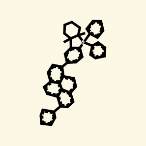 CC12CCCCC1(C)[Si](c1ccccc1)(c1ccccc1)c1ccc(-c3ccc4ccc5c(-c6ccccc6)ccc6ccc3c4c65)cc12